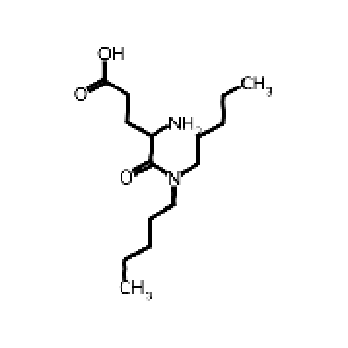 CCCCCN(CCCCC)C(=O)C(N)CCC(=O)O